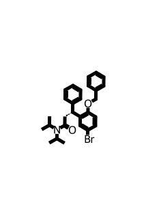 CC(C)N(C(=O)C[C@H](c1ccccc1)c1cc(Br)ccc1OCc1ccccc1)C(C)C